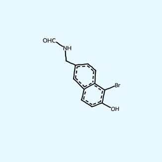 O=CNCc1ccc2c(Br)c(O)ccc2c1